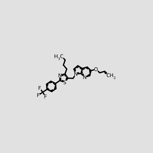 C=CCOc1cnc2c(ccn2Cc2sc(-c3ccc(C(F)(F)F)cc3)nc2CCCC)c1